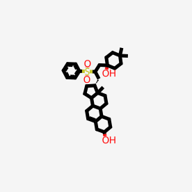 CC1(C)CCC(O)(CC(C[C@H]2CCC3C4CC=C5CC(O)CCC5C4CCC32C)S(=O)(=O)c2ccccc2)CC1